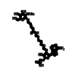 CC(=O)N[C@@H]1[C@@H](OCCCCC(=O)NCCOCCOCO[C@H]2C(n3cnc4c(N)ncnc43)O[C@H](CO[PH](=O)O)[C@H]2O)OC(CO)C(O)[C@H]1O